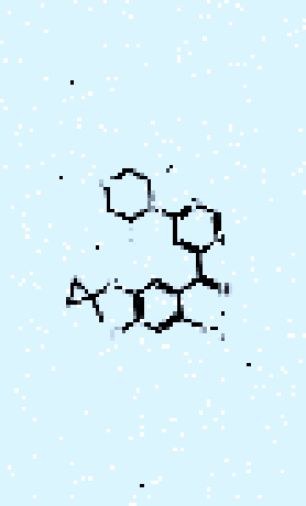 C[C@@H]1COC[C@H](C)N1c1cc(C(=N)c2cc(OC3(C)CC3)c(F)cc2N)ncn1